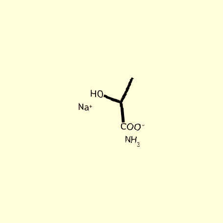 CC(O)C(=O)[O-].N.[Na+]